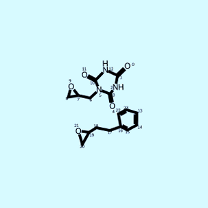 O=c1[nH]c(=O)n(CC2CO2)c(=O)[nH]1.c1ccc(CCC2CO2)cc1